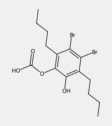 CCCCc1c(O)c(OC(=O)O)c(CCCC)c(Br)c1Br